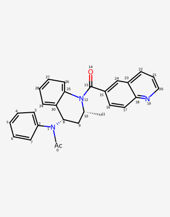 CC(=O)N(c1ccccc1)[C@H]1C[C@@H](C)N(C(=O)c2ccc3ncccc3c2)c2ccccc21